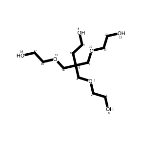 OCCOCC(CCO)(COCCO)COCCO